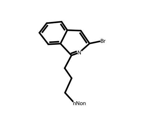 CCCCCCCCCCCCc1nc(Br)cc2ccccc12